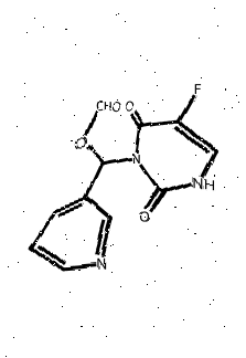 O=COC(c1cccnc1)n1c(=O)[nH]cc(F)c1=O